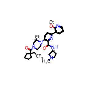 CCOc1ncccc1-c1ccc(N2CCN(C(=O)C3(CC(F)(F)F)CCCC3)C[C@H]2CC)c(C(=O)N[C@@H]2CCN(C)C2)n1